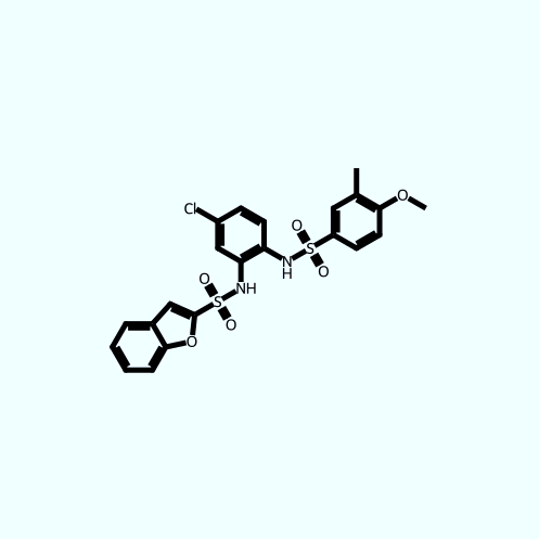 COc1ccc(S(=O)(=O)Nc2ccc(Cl)cc2NS(=O)(=O)c2cc3ccccc3o2)cc1C